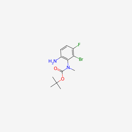 CN(C(=O)OC(C)(C)C)c1c(N)ccc(F)c1Br